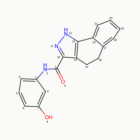 O=C(Nc1cccc(O)c1)c1n[nH]c2c1CCc1ccccc1-2